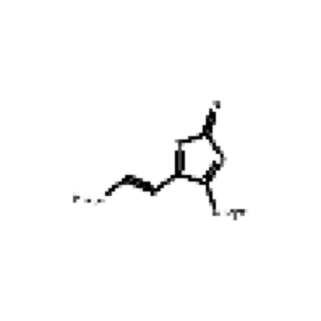 CCCCCCCC1=NC(=O)N=C1C=CC(=O)O